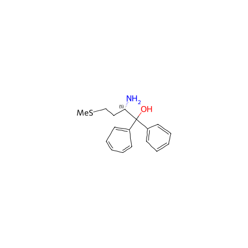 CSCC[C@H](N)C(O)(c1ccccc1)c1ccccc1